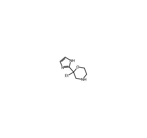 CCC1(c2ncc[nH]2)CNCCO1